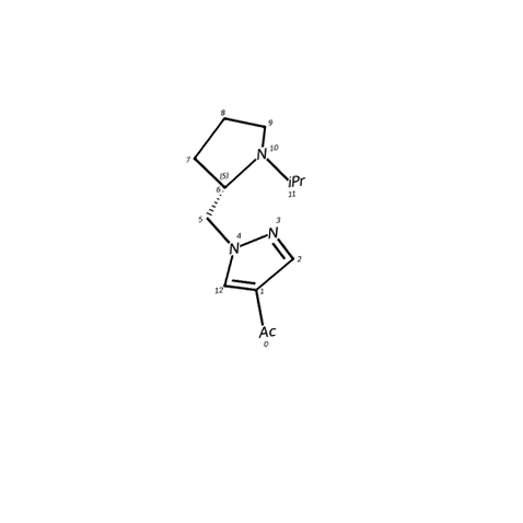 CC(=O)c1cnn(C[C@@H]2CCCN2C(C)C)c1